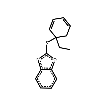 CCC1(Sc2nc3ccccc3o2)C=CC=CC1